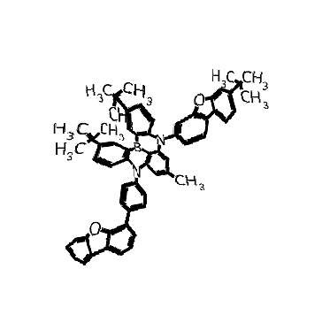 Cc1cc2c3c(c1)N(c1ccc4c(c1)oc1cc(C(C)(C)C)ccc14)c1ccc(C(C)(C)C)cc1B3c1cc(C(C)(C)C)ccc1N2c1ccc(-c2cccc3c2oc2ccccc23)cc1